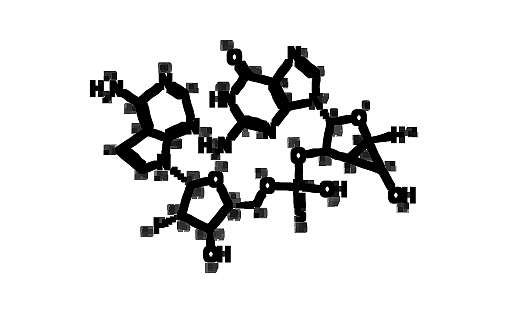 Nc1nc2c(ncn2[C@@H]2O[C@@H]3C(O)C3C2OP(O)(=S)OC[C@H]2O[C@@H](n3ccc4c(N)ncnc43)[C@@H](F)[C@@H]2O)c(=O)[nH]1